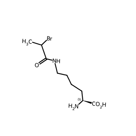 CC(Br)C(=O)NCCCC[C@H](N)C(=O)O